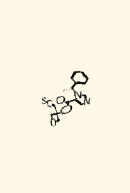 C[C@H](c1ccccc1)n1cncc1C(=O)OC1(C=C=S)COC1